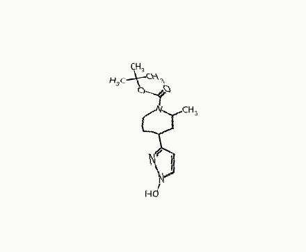 CC1CC(c2ccn(O)n2)CCN1C(=O)OC(C)(C)C